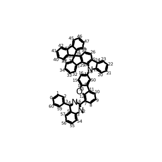 c1ccc(-c2nc(-c3cccc4c3oc3ccc(-n5c6ccccc6c6ccc7c(c65)-c5ccccc5C75c6ccccc6-c6ccccc65)cc34)nc3ccccc23)cc1